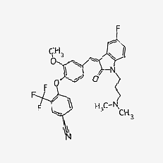 COc1cc(C=C2C(=O)N(CCCN(C)C)c3ccc(F)cc32)ccc1Oc1ccc(C#N)cc1C(F)(F)F